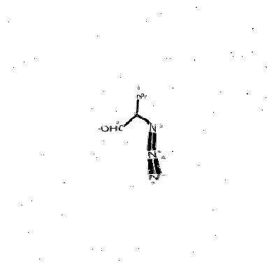 CCCC([C]=O)N=[N+]=[N-]